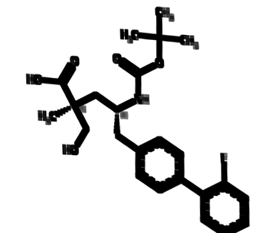 CC(C)(C)OC(=O)N[C@H](Cc1ccc(-c2ccccc2F)cc1)C[C@@](C)(CO)C(=O)O